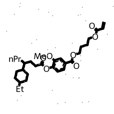 C=CC(=O)OCCCCOC(=O)c1ccc(OC(=O)CCC(CCC)C2CCC(CC)CC2)c(OC)c1